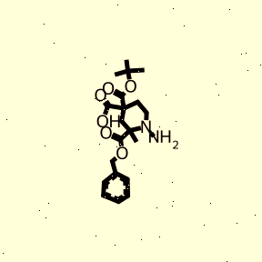 CC(C)(C)OC(=O)C1(C(=O)O)CCN(N)C(C)(C(=O)OCc2ccccc2)C1